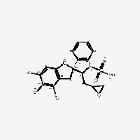 CC(C)(C)S(=O)(=O)N[C@@H](CC1CO1)[C@@]1(c2ccccc2)Cc2c(cc(F)c(Cl)c2Br)O1